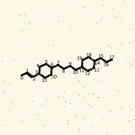 CC=CC1CCC(CCCCC2CCC(CCC)CC2)CC1